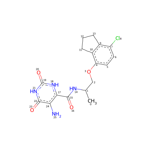 CC(COc1ccc(Cl)c2c1CCC2)NC(=O)c1[nH]c(=O)[nH]c(=O)c1N